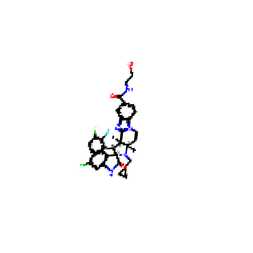 O=C(NCCO)c1ccc2c(c1)nc1n2CC[C@H]2[C@@H]1[C@H](c1cccc(Cl)c1F)[C@]1(C(=O)Nc3cc(Cl)ccc31)N2CC1CC1